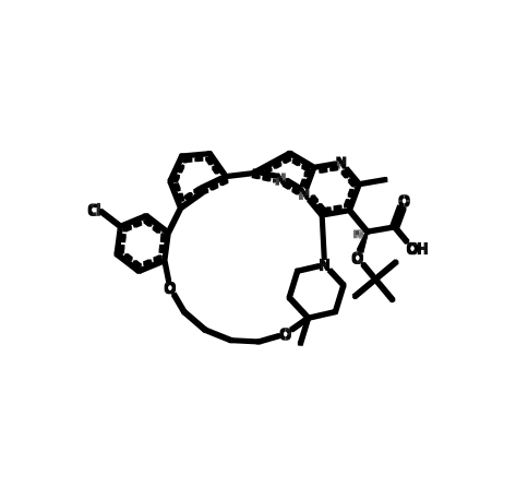 Cc1nc2cc3nn2c(c1[C@H](OC(C)(C)C)C(=O)O)N1CCC(C)(CC1)OCCCCOc1ccc(Cl)cc1-c1cccc-3c1